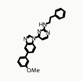 COc1cccc(-c2ccc3c(c2)ncn3-c2ccnc(NCCc3ccccc3)n2)c1